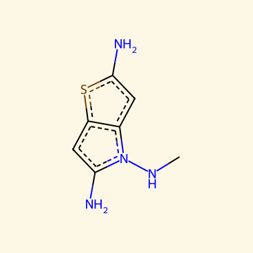 CNn1c(N)cc2sc(N)cc21